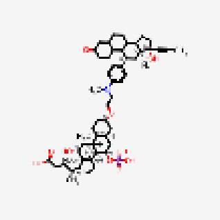 CC#C[C@@]1(O)CCC2C3CCC4=CC(=O)CCC4=C3[C@H](c3ccc(N(C)CCO[C@H]4CC[C@@]5(C)[C@@H](C4)C[C@@H](OP(=O)(O)O)[C@@H]4[C@@H]5C[C@H](O)[C@]5(C)[C@@H]([C@H](C)CCC(=O)O)CC[C@@H]45)cc3)C[C@@]21C